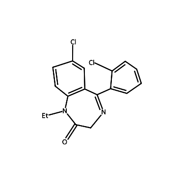 CCN1C(=O)CN=C(c2ccccc2Cl)c2cc(Cl)ccc21